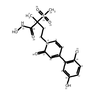 CC(CCn1ccc(-c2cc(O)ccc2Cl)cc1=O)(C(=O)NO)S(C)(=O)=O